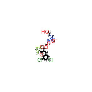 CN(CCO)/[N+]([O-])=N/OCOC(=O)C1=Cc2cc(Cl)cc(Cl)c2OC1C(F)(F)F